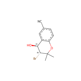 CC1(C)Oc2ccc(C#N)cc2[C@H](O)[C@H]1Br